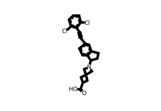 O=C(O)C1CC2(C1)CN(C1CCc3cc(C#Cc4c(Cl)cccc4Cl)ccc31)C2